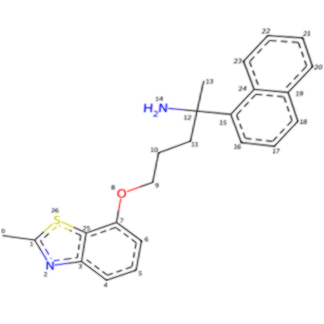 Cc1nc2cccc(OCCCC(C)(N)c3cccc4ccccc34)c2s1